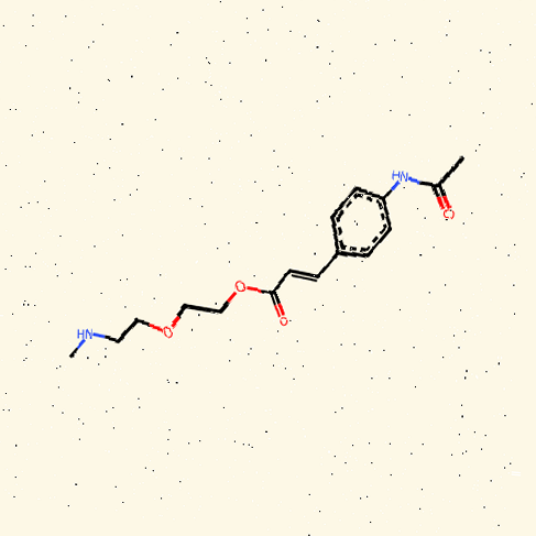 CNCCOCCOC(=O)/C=C/c1ccc(NC(C)=O)cc1